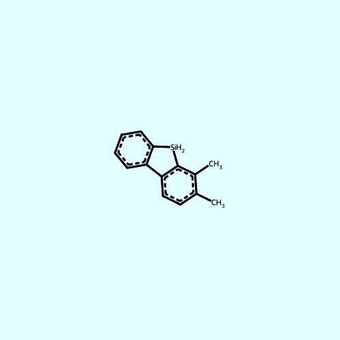 Cc1ccc2c(c1C)[SiH2]c1ccccc1-2